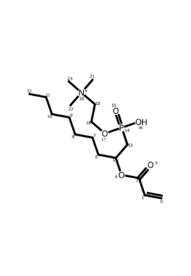 C=CC(=O)OC(CCCCCCC)CP(=O)(O)OCC[N+](C)(C)C